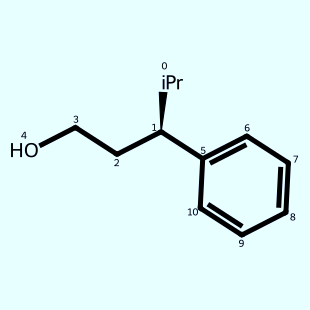 CC(C)[C@H](CCO)c1ccccc1